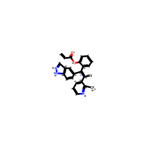 C=CC(=O)Oc1ccccc1/C(=C(\CC)c1cccnc1C(F)(F)F)c1ccc2[nH]ncc2c1